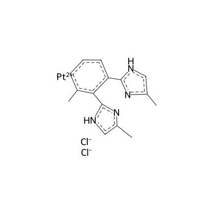 Cc1c[nH]c(-c2cccc(C)c2-c2nc(C)c[nH]2)n1.[Cl-].[Cl-].[Pt+2]